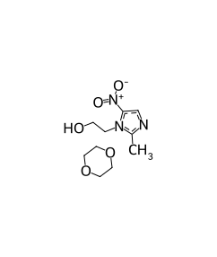 C1COCCO1.Cc1ncc([N+](=O)[O-])n1CCO